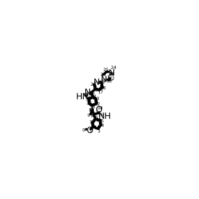 COc1ccc2c(c1)[C@]1(C[C@@H]1c1ccc3c(-c4ccc(N5CCN(C)CC5)nc4)n[nH]c3c1)C(=O)N2